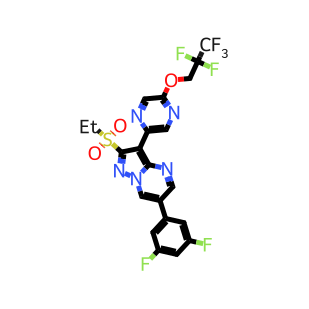 CCS(=O)(=O)c1nn2cc(-c3cc(F)cc(F)c3)cnc2c1-c1cnc(OCC(F)(F)C(F)(F)F)cn1